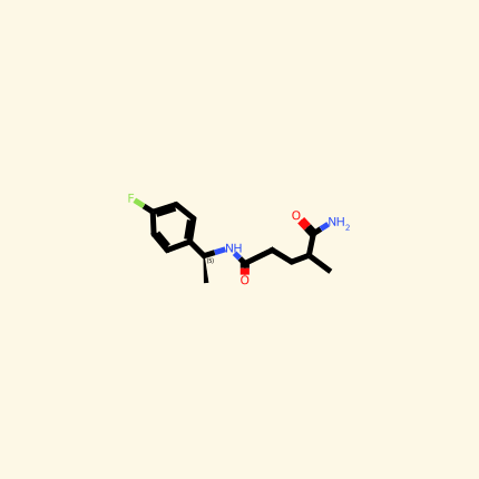 CC(C[CH]C(=O)N[C@@H](C)c1ccc(F)cc1)C(N)=O